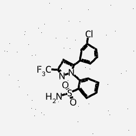 NS(=O)(=O)c1ccccc1-n1nc(C(F)(F)F)cc1-c1cccc(Cl)c1